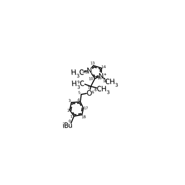 CCC(C)c1ccc(COC(C)(C)c2n(C)cc[n+]2C)cc1